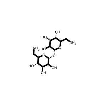 NCC1O[C@H](O[C@H]2OC(CN)[C@@H](O)[C@H](O)C2O)C(O)[C@@H](O)[C@@H]1O